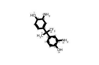 CC(C1=CC(N)C(O)C=C1)(c1ccc(O)c(N)c1)C(F)(F)F